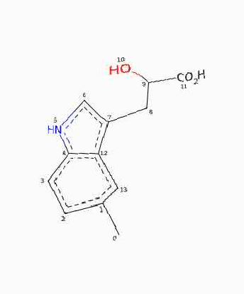 Cc1ccc2[nH]cc(CC(O)C(=O)O)c2c1